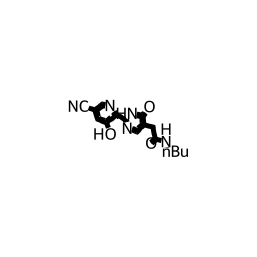 CCCCNC(=O)Cc1cnc(-c2ncc(C#N)cc2O)[nH]c1=O